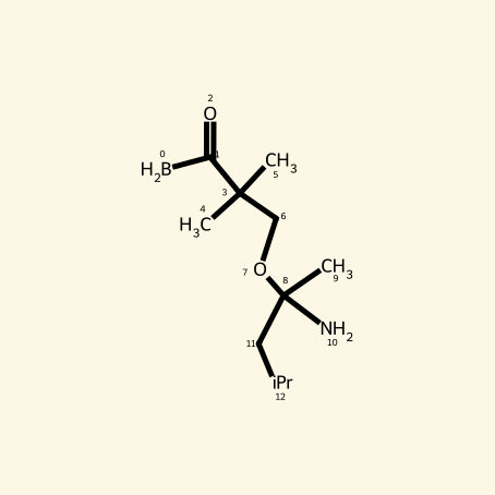 BC(=O)C(C)(C)COC(C)(N)CC(C)C